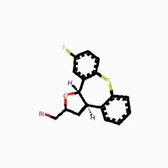 Fc1ccc2c(c1)[C@H]1OC(CBr)C[C@@H]1c1ccccc1S2